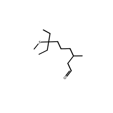 CCC(CC)(CCCC(C)CC=O)SC